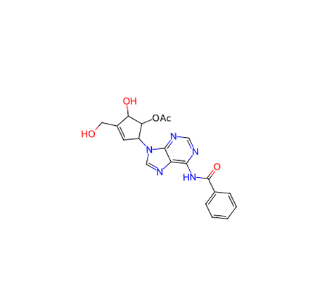 CC(=O)OC1C(O)C(CO)=CC1n1cnc2c(NC(=O)c3ccccc3)ncnc21